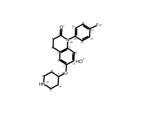 Cl.O=C1CCc2cc(OC3CCNCC3)ccc2N1c1ccc(F)cc1